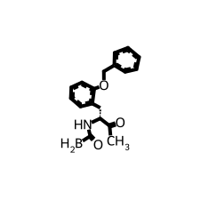 BC(=O)N[C@H](Cc1ccccc1OCc1ccccc1)C(C)=O